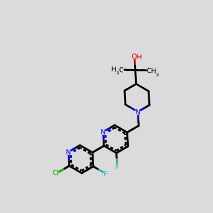 CC(C)(O)C1CCN(Cc2cnc(-c3cnc(Cl)cc3F)c(F)c2)CC1